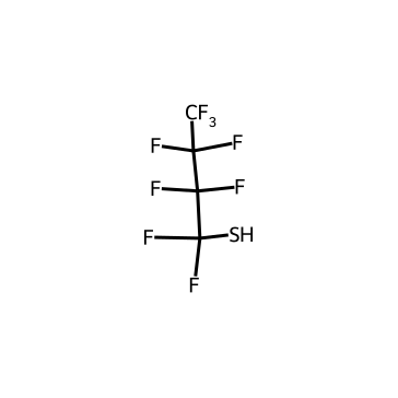 FC(F)(F)C(F)(F)C(F)(F)C(F)(F)S